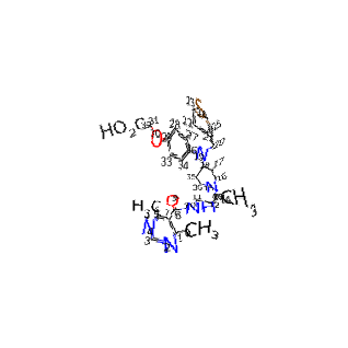 Cc1ncnc(C)c1C(=O)NCC[C@@H](C)N1CCC(N(Cc2ccsc2)c2ccc(OCC(=O)O)cc2)CC1